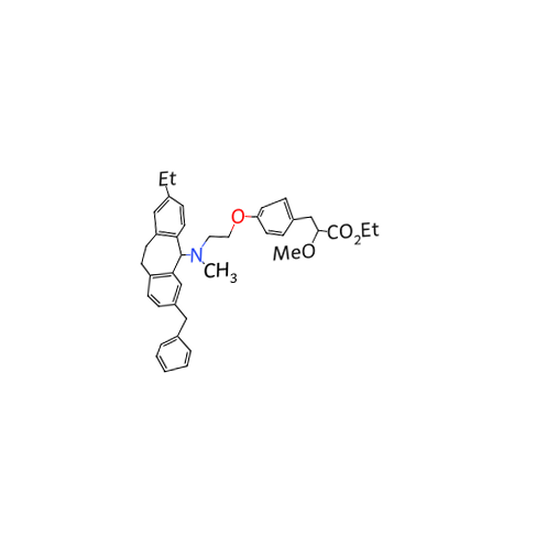 CCOC(=O)C(Cc1ccc(OCCN(C)C2c3ccc(CC)cc3CCc3ccc(Cc4ccccc4)cc32)cc1)OC